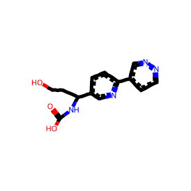 O=C(O)NC(CCO)c1ccc(-c2ccnnc2)nc1